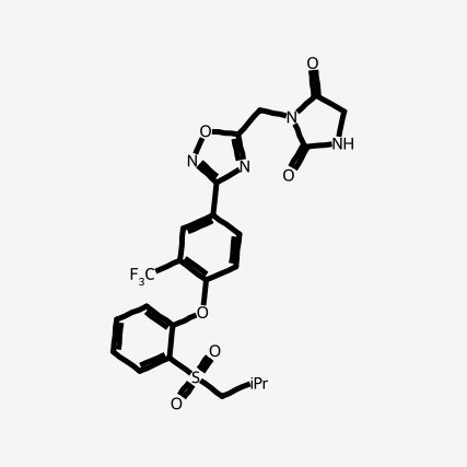 CC(C)CS(=O)(=O)c1ccccc1Oc1ccc(-c2noc(CN3C(=O)CNC3=O)n2)cc1C(F)(F)F